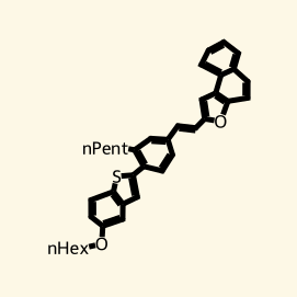 CCCCCCOc1ccc2sc(-c3ccc(C=Cc4cc5c(ccc6ccccc65)o4)cc3CCCCC)cc2c1